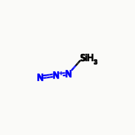 [N-]=[N+]=N[SiH3]